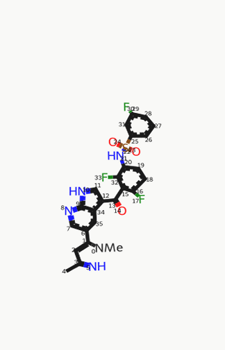 CN/C(=C\C(C)=N)c1cnc2[nH]cc(C(=O)c3c(F)ccc(NS(=O)(=O)c4cccc(F)c4)c3F)c2c1